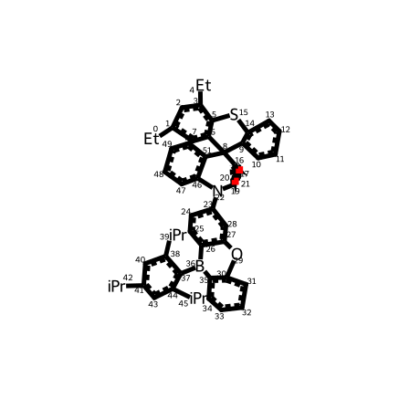 CCc1cc(CC)c2c(c1)C1(c3ccccc3S2)c2ccccc2N(c2ccc3c(c2)Oc2ccccc2B3c2c(C(C)C)cc(C(C)C)cc2C(C)C)c2ccccc21